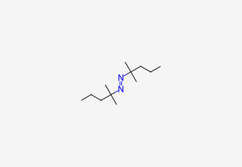 CCCC(C)(C)N=NC(C)(C)CCC